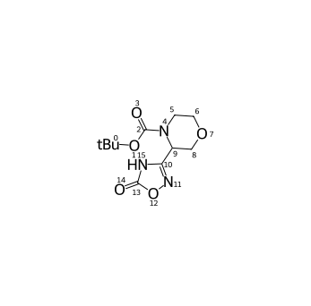 CC(C)(C)OC(=O)N1CCOCC1c1noc(=O)[nH]1